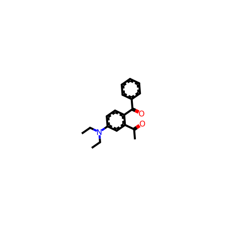 CCN(CC)c1ccc(C(=O)c2ccccc2)c(C(C)=O)c1